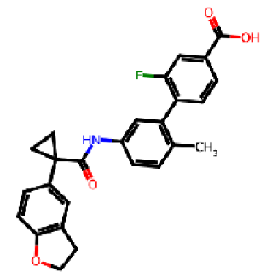 Cc1ccc(NC(=O)C2(c3ccc4c(c3)CCO4)CC2)cc1-c1ccc(C(=O)O)cc1F